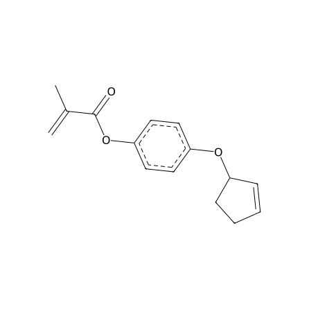 C=C(C)C(=O)Oc1ccc(OC2C=CCC2)cc1